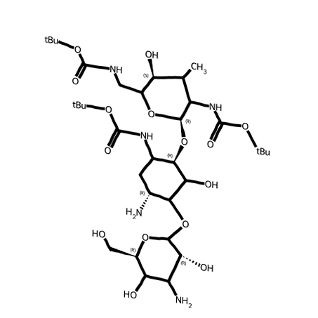 CC1C(NC(=O)OC(C)(C)C)[C@@H](O[C@@H]2C(NC(=O)OC(C)(C)C)C[C@@H](N)C(OC3O[C@H](CO)C(O)C(N)[C@H]3O)C2O)OC(CNC(=O)OC(C)(C)C)[C@H]1O